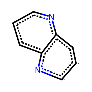 [c]1[c]nc2cccnc2c1